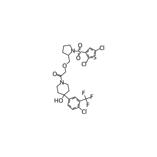 O=C(COCC1CCCN1S(=O)(=O)c1cc(Cl)sc1Cl)N1CCC(O)(c2ccc(Cl)c(C(F)(F)F)c2)CC1